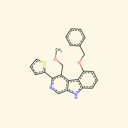 COCc1c(-c2cccs2)ncc2[nH]c3cccc(OCc4ccccc4)c3c12